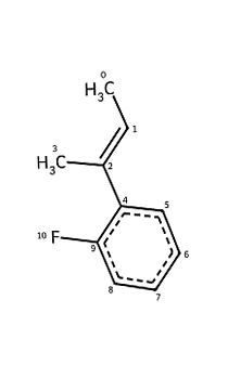 C/C=C(\C)c1ccccc1F